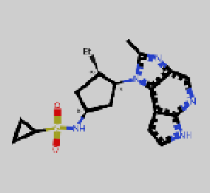 CC[C@@H]1C[C@H](NS(=O)(=O)C2CC2)C[C@@H]1n1c(C)nc2cnc3[nH]ccc3c21